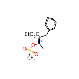 CCOC(=O)/C(Cc1ccccc1)=C(/C)OS(=O)(=O)C(F)(F)F